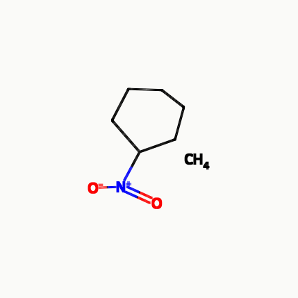 C.O=[N+]([O-])C1CCCCC1